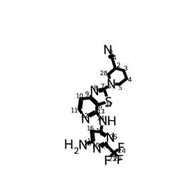 N#CC1CCCN(c2nc3ccnc(Nc4cc(N)nc(C(F)(F)F)n4)c3s2)C1